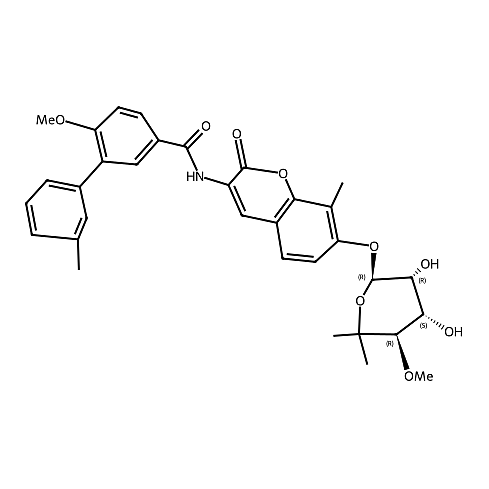 COc1ccc(C(=O)Nc2cc3ccc(O[C@@H]4OC(C)(C)[C@H](OC)[C@@H](O)[C@H]4O)c(C)c3oc2=O)cc1-c1cccc(C)c1